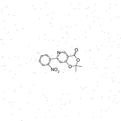 CC1(C)OC(=O)c2cnc(-c3ccccc3[N+](=O)[O-])cc2O1